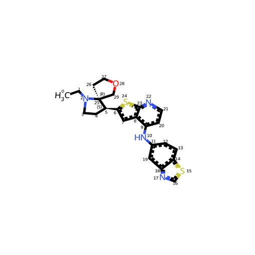 CCN1CC[C@H](c2cc3c(Nc4ccc5scnc5c4)ccnc3s2)[C@@]12CCOC2